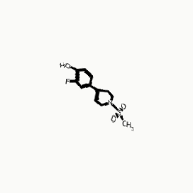 CS(=O)(=O)N1CC=C(c2ccc(O)c(F)c2)CC1